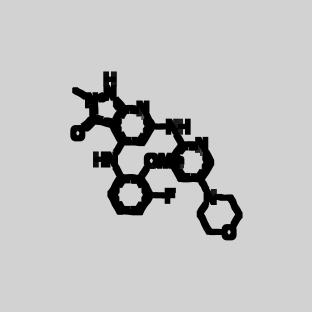 COc1c(F)cccc1Nc1cc(Nc2ccc(N3CCOCC3)cn2)nc2[nH]n(C)c(=O)c12